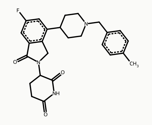 Cc1ccc(CN2CCC(c3cc(F)cc4c3CN(C3CCC(=O)NC3=O)C4=O)CC2)cc1